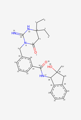 CCC1(CC)CC(=O)N(Cc2cccc(C(=O)NC3c4ccccc4CC3(C)O)c2)C(=N)N1